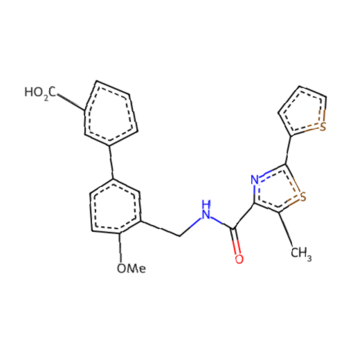 COc1ccc(-c2cccc(C(=O)O)c2)cc1CNC(=O)c1nc(-c2cccs2)sc1C